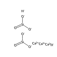 O=[Si]([O-])[O-].O=[Si]([O-])[O-].[Ca+2].[Ca+2].[Ca+2].[H-].[H-]